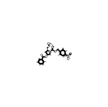 CSC[C@@H]1C[C@@H](OC(=O)c2ccccc2)CN1C(=O)OCc1ccc([N+](=O)[O-])cc1